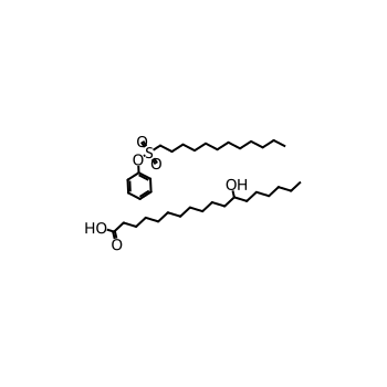 CCCCCCC(O)CCCCCCCCCCC(=O)O.CCCCCCCCCCCCS(=O)(=O)Oc1ccccc1